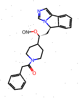 O=NO[C@H](C[C@@H]1c2ccccc2-c2cncn21)C1CCN(C(=O)Cc2ccccc2)CC1